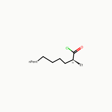 CCCCCCCCC[C@H](CC)C(=O)Cl